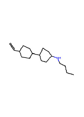 C=CC1CCC(C2CCC(NCCCC)CC2)CC1